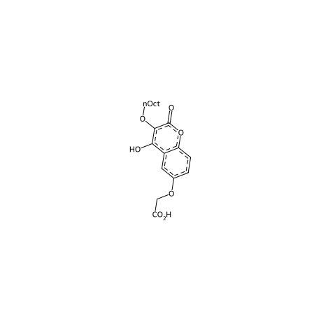 CCCCCCCCOc1c(O)c2cc(OCC(=O)O)ccc2oc1=O